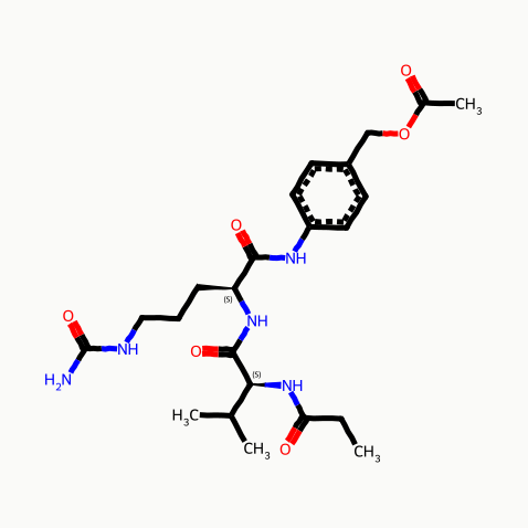 CCC(=O)N[C@H](C(=O)N[C@@H](CCCNC(N)=O)C(=O)Nc1ccc(COC(C)=O)cc1)C(C)C